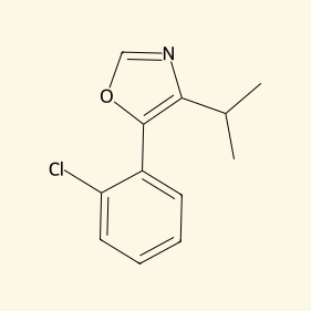 CC(C)c1ncoc1-c1ccccc1Cl